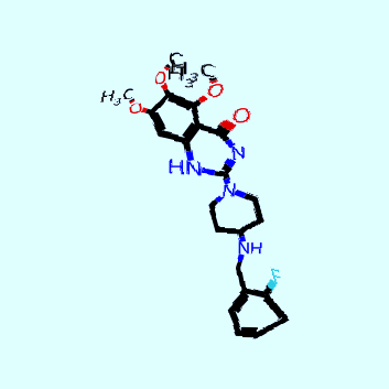 COc1cc2[nH]c(N3CCC(NCc4ccccc4F)CC3)nc(=O)c2c(OC)c1OC